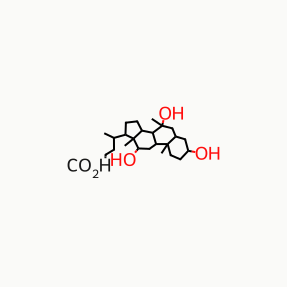 CC(CCC(=O)O)C1CCC2C3C(CC(O)C12C)C1(C)CCC(O)CC1CC3(C)O